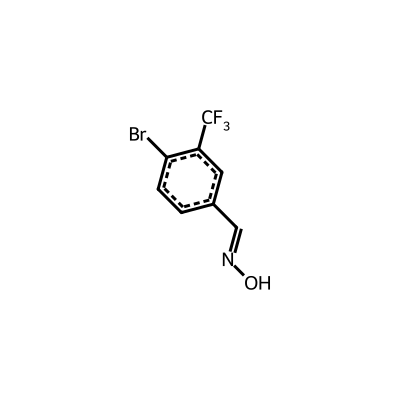 ON=Cc1ccc(Br)c(C(F)(F)F)c1